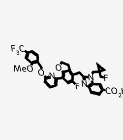 COc1cc(C(F)(F)F)ccc1COc1cccc(-c2cc(F)c(Cc3nc4ccc(C(=O)O)cc4n3CC3(CF)CC3)c3c2OCC3)n1